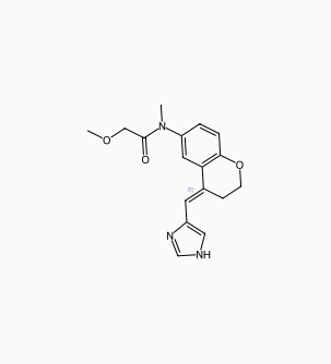 COCC(=O)N(C)c1ccc2c(c1)/C(=C/c1c[nH]cn1)CCO2